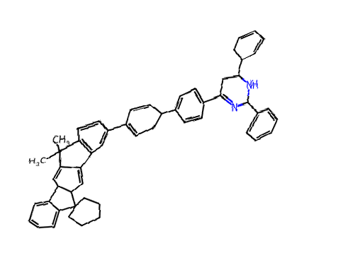 CC1(C)C2=CC3c4ccccc4C4(CCCCC4)C3C=C2c2cc(C3=CCC(c4ccc(C5=NC(c6ccccc6)NC(C6C=CC=CC6)C5)cc4)C=C3)ccc21